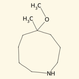 COC1(C)CCCCNCCC1